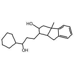 CC12CC(O)C(CCC(O)C3CCCCC3)C1Cc1ccccc12